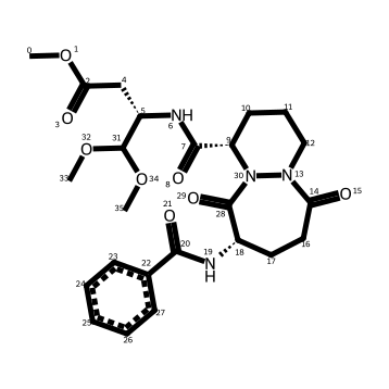 COC(=O)C[C@H](NC(=O)[C@@H]1CCCN2C(=O)CC[C@H](NC(=O)c3ccccc3)C(=O)N12)C(OC)OC